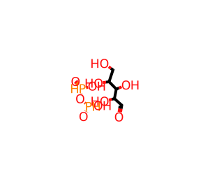 O=CC(O)C(O)C(O)CO.O=[PH](O)O[PH](=O)O